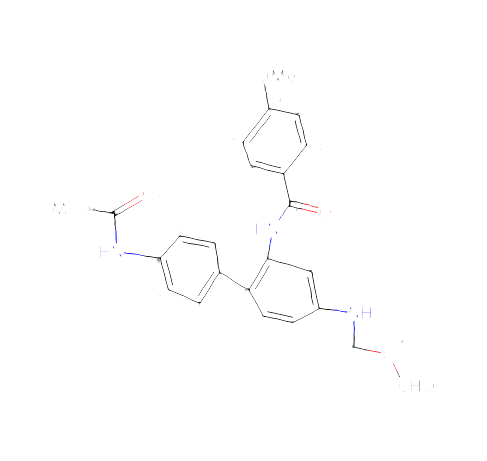 COC(=O)Nc1ccc(-c2ccc(NCOC=O)cc2NC(=O)c2ccc(OC)cc2)cc1